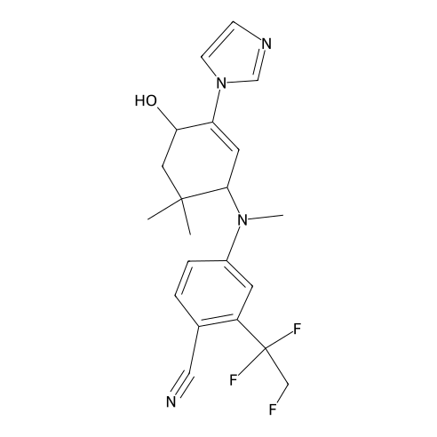 CN(c1ccc(C#N)c(C(F)(F)CF)c1)C1C=C(n2ccnc2)C(O)CC1(C)C